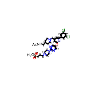 CC(=O)NCC1CCN(Cc2cc(Oc3cnc(N4CCN(CCCS(C)(=O)=O)CC4)nc3)nc(-c3cc(Cl)cc(Cl)c3)c2)CC1